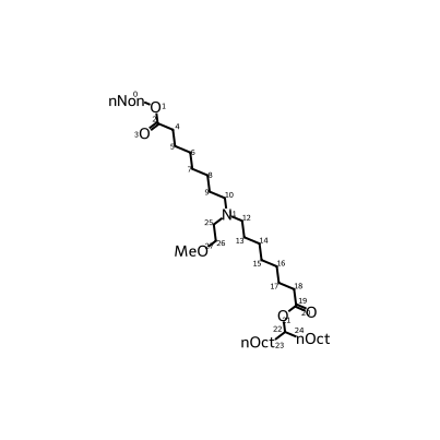 CCCCCCCCCOC(=O)CCCCCCCN(CCCCCCCC(=O)OC(CCCCCCCC)CCCCCCCC)CCOC